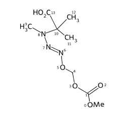 COC(=O)OCON=NN(C)C(C)(C)C(=O)O